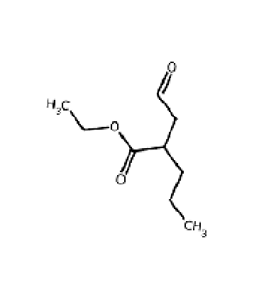 CCCC(CC=O)C(=O)OCC